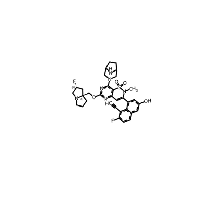 C#Cc1c(F)ccc2cc(O)cc(C3=Cc4nc(OC[C@@]56CCCN5C[C@H](F)C6)nc(N5CC6CCC(C5)N6)c4S(=O)(=O)N3C)c12